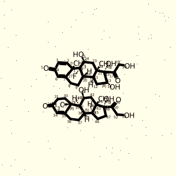 C[C@]12C=CC(=O)C=C1CC[C@H]1[C@@H]3C[C@@H](O)[C@](O)(C(=O)CO)[C@@]3(C)C[C@H](O)[C@@]12F.C[C@]12CCC(=O)C=C1CC[C@@H]1[C@@H]2[C@@H](O)C[C@@]2(C)[C@H]1CC[C@]2(O)C(=O)CO